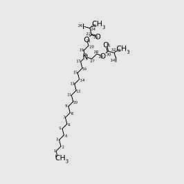 CCCCCCCCCCCCCCCCCCN(CCOC(=O)C(C)I)CCOC(=O)C(C)I